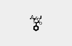 CCOC(=O)C(SC(=S)N(C)C)c1ccccc1